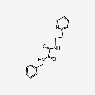 O=C(NCCc1ccccn1)C(=O)NCc1ccccc1